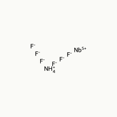 [F-].[F-].[F-].[F-].[F-].[F-].[NH4+].[Nb+5]